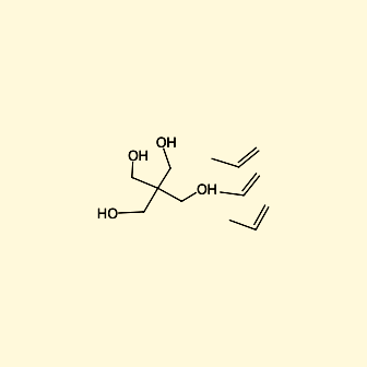 C=CC.C=CC.C=CC.OCC(CO)(CO)CO